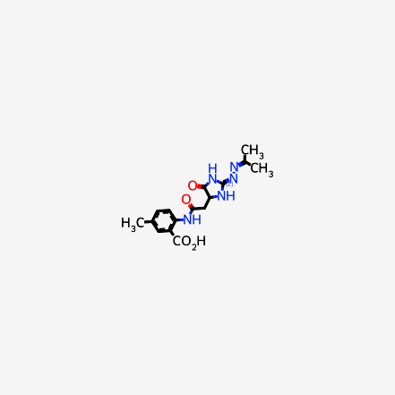 CC(C)=N/N=C1\NC(=O)C(CC(=O)Nc2ccc(C)cc2C(=O)O)N1